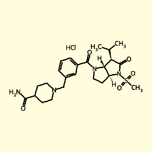 CC(C)[C@H]1C(=O)N(S(C)(=O)=O)[C@H]2CCN(C(=O)c3cccc(CN4CCC(C(N)=O)CC4)c3)[C@H]12.Cl